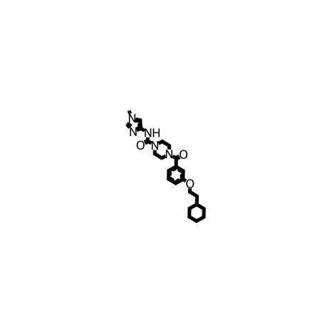 Cn1cnc(NC(=O)N2CCN(C(=O)c3cccc(OCCC4CCCCC4)c3)CC2)c1